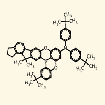 CC(C)(C)c1ccc(N(c2ccc(C(C)(C)C)cc2)c2cc3c4c(c2)Oc2cc5c(cc2B4c2cc(C(C)(C)C)ccc2O3)C(C)(C)c2c-5ccc3c2CCC3)cc1